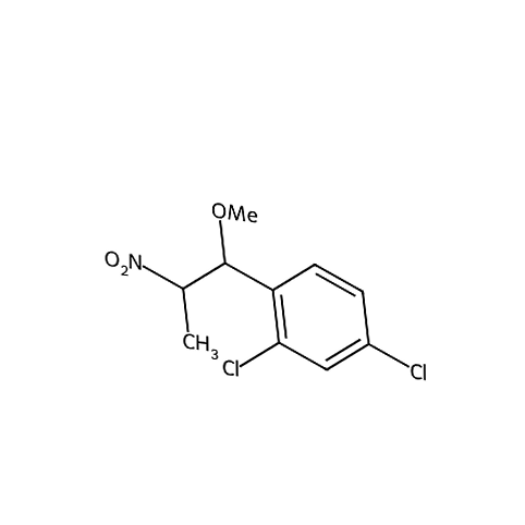 COC(c1ccc(Cl)cc1Cl)C(C)[N+](=O)[O-]